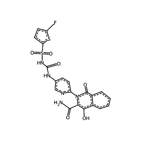 NC(=O)c1c(O)c2ccccc2c(=O)n1-c1ccc(NC(=O)NS(=O)(=O)c2ccc(F)s2)cn1